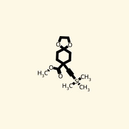 COC(=O)C1(C#C[Si](C)(C)C)CCC2(CC1)OCCO2